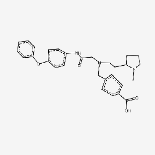 CN1CCCC1CCN(CC(=O)Nc1ccc(Oc2ccccc2)cc1)Cc1ccc(C(=O)O)cc1